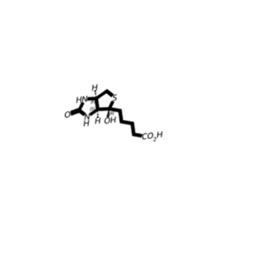 O=C(O)CCCC[C@@]1(O)SC[C@@H]2NC(=O)N[C@@H]21